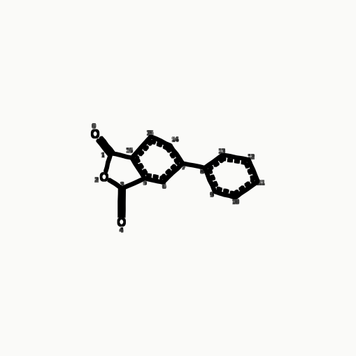 O=C1OC(=O)c2cc(-c3cc[c]cc3)ccc21